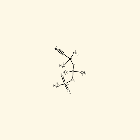 C#CC(C)(C)CC(C)(C)OS(C)(=O)=O